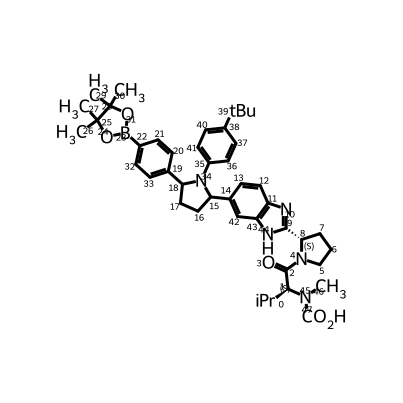 CC(C)[C@@H](C(=O)N1CCC[C@H]1c1nc2ccc(C3CCC(c4ccc(B5OC(C)(C)C(C)(C)O5)cc4)N3c3ccc(C(C)(C)C)cc3)cc2[nH]1)N(C)C(=O)O